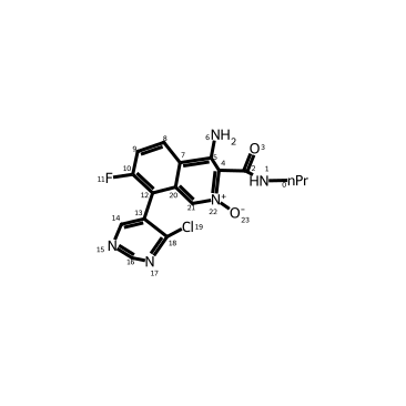 CCCNC(=O)c1c(N)c2ccc(F)c(-c3cncnc3Cl)c2c[n+]1[O-]